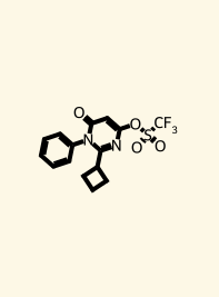 O=c1cc(OS(=O)(=O)C(F)(F)F)nc(C2CCC2)n1-c1ccccc1